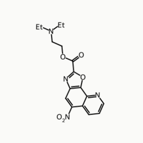 CCN(CC)CCOC(=O)c1nc2cc([N+](=O)[O-])c3cccnc3c2o1